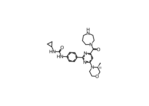 C[C@H]1COCCN1c1cc(C(=O)N2CCCNCC2)nc(-c2ccc(NC(=O)NC3CC3)cc2)n1